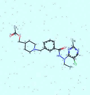 CC(C)CN(NC(=O)c1cccc(CN2CCC(COC(=O)C(F)(F)F)CC2)c1)c1nc(C#N)ncc1Cl